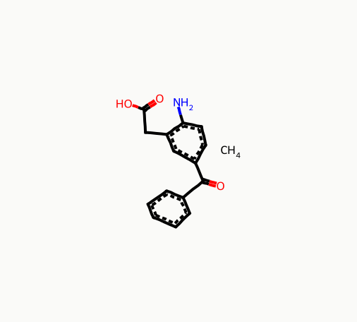 C.Nc1ccc(C(=O)c2ccccc2)cc1CC(=O)O